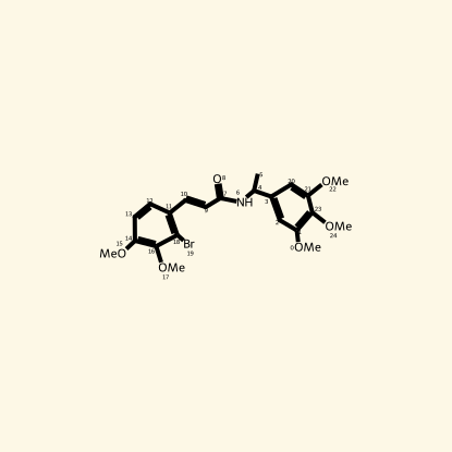 COc1cc(C(C)NC(=O)/C=C/c2ccc(OC)c(OC)c2Br)cc(OC)c1OC